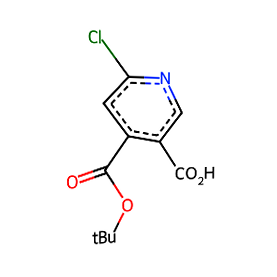 CC(C)(C)OC(=O)c1cc(Cl)ncc1C(=O)O